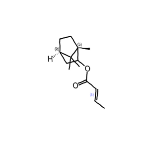 C/C=C/C(=O)OC1C[C@H]2CC[C@@]1(C)C2(C)C